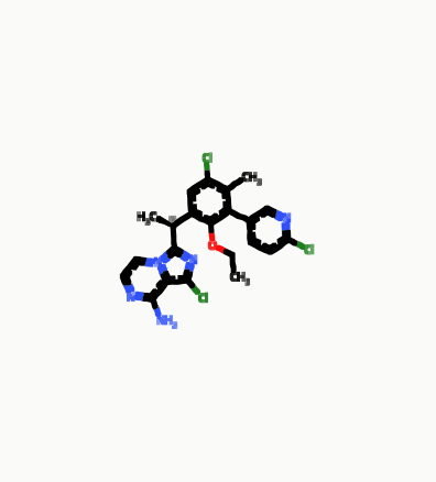 CCOc1c([C@H](C)c2nc(Cl)c3c(N)nccn23)cc(Cl)c(C)c1-c1ccc(Cl)nc1